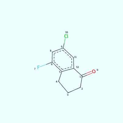 O=C1CCCc2c(F)cc(Cl)cc21